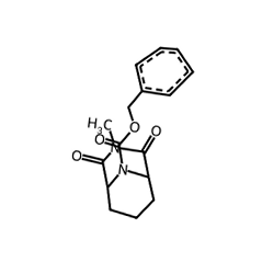 CN1C(=O)C2CCCC(C1=O)N2C(=O)OCc1ccccc1